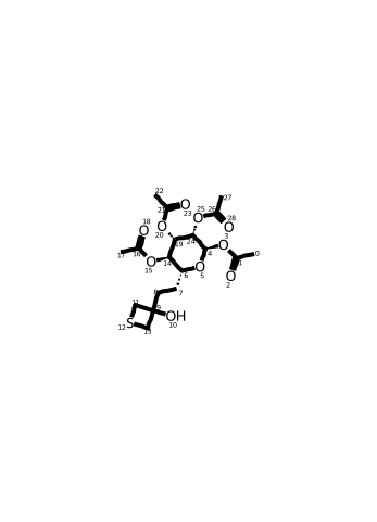 CC(=O)O[C@H]1O[C@H](CCC2(O)CSC2)[C@@H](OC(C)=O)[C@H](OC(C)=O)[C@@H]1OC(C)=O